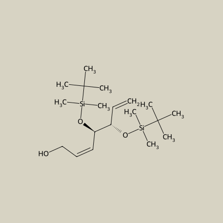 C=C[C@H](O[Si](C)(C)C(C)(C)C)[C@@H](/C=C\CO)O[Si](C)(C)C(C)(C)C